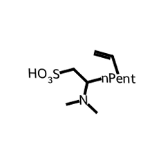 C=CC.CCCCCC(CS(=O)(=O)O)N(C)C